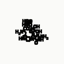 NC(Cc1c[nH]c2ccccc12)C(=O)O.Nc1nc2c(ncn2[C@@H]2O[C@H](COP(=O)(O)O)[C@@H](O)[C@H]2O)c(=O)[nH]1